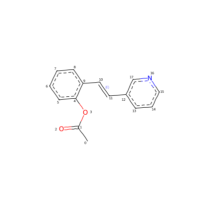 CC(=O)Oc1ccccc1/C=C/c1cccnc1